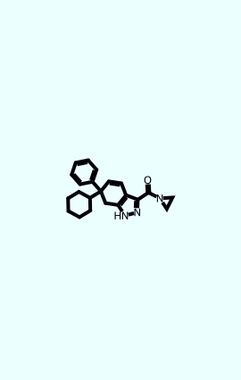 O=C(c1n[nH]c2c1C=CC(c1ccccc1)(C1CCCCC1)C2)N1CC1